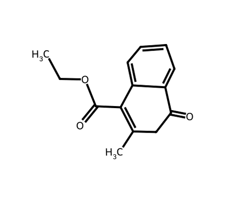 CCOC(=O)C1=C(C)CC(=O)c2ccccc21